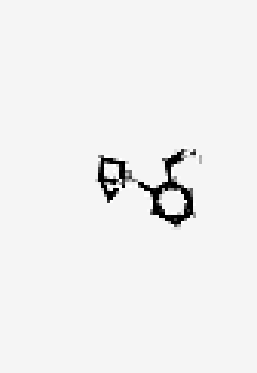 C1CN2CC12.C=Cc1ccccc1CC